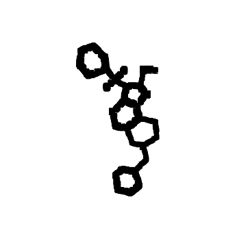 CNc1nn2c3c(cnc2c1S(=O)(=O)c1ccccc1)CN(Cc1ccccc1)CC3